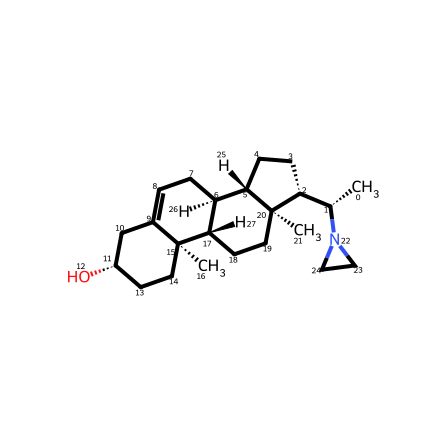 C[C@@H]([C@H]1CC[C@H]2[C@@H]3CC=C4C[C@@H](O)CC[C@]4(C)[C@H]3CC[C@]12C)N1CC1